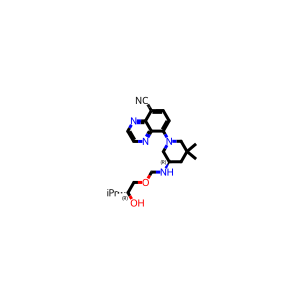 CC(C)[C@@H](O)COCN[C@H]1CN(c2ccc(C#N)c3nccnc23)CC(C)(C)C1